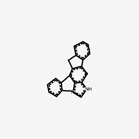 c1ccc2c(c1)Cc1c-2cc2[nH]c3nc2c1-c1ccccc1C3